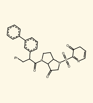 CC(C)CC(C(=O)N1CCC2C1C(=O)CN2S(=O)(=O)C1=NC=CCC1=O)c1cccc(-c2ccccc2)c1